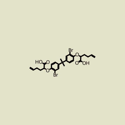 C=CCCC(Oc1ccc(C(C)(C)c2ccc(OC(CCC=C)C(=O)O)c(Br)c2)cc1Br)C(=O)O